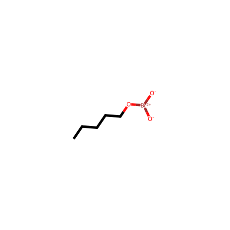 CCCCCO[Br+2]([O-])[O-]